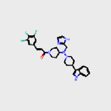 O=C(C=Cc1cc(F)c(F)c(F)c1)N1CCC(N(Cc2ncc[nH]2)N2CCC(c3c[nH]c4ccccc34)CC2)CC1